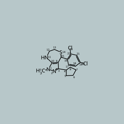 Cn1nc(C2CCCC2)c2c1NCCSC2c1ccc(Cl)cc1Cl